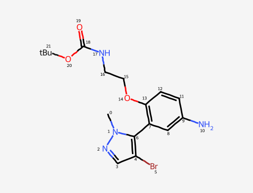 Cn1ncc(Br)c1-c1cc(N)ccc1OCCNC(=O)OC(C)(C)C